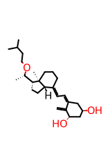 C=C1C(=CC=C2CCC[C@]3(C)[C@@H]([C@H](C)OCCC(C)C)CC[C@@H]23)C[C@@H](O)C[C@@H]1O